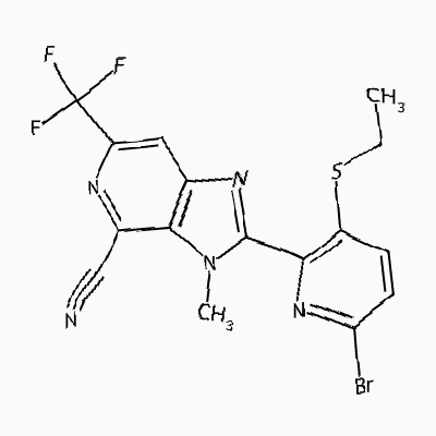 CCSc1ccc(Br)nc1-c1nc2cc(C(F)(F)F)nc(C#N)c2n1C